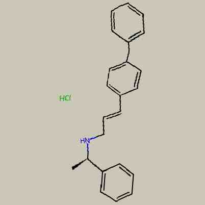 C[C@@H](NCC=Cc1ccc(-c2ccccc2)cc1)c1ccccc1.Cl